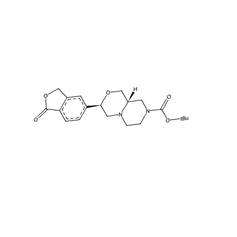 CC(C)(C)OC(=O)N1CCN2C[C@@H](c3ccc4c(c3)COC4=O)OC[C@@H]2C1